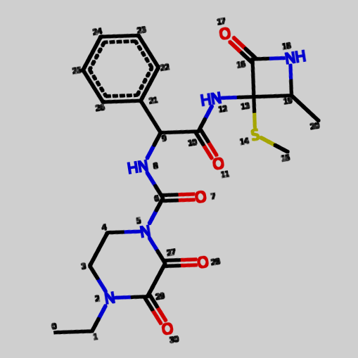 CCN1CCN(C(=O)NC(C(=O)NC2(SC)C(=O)NC2C)c2ccccc2)C(=O)C1=O